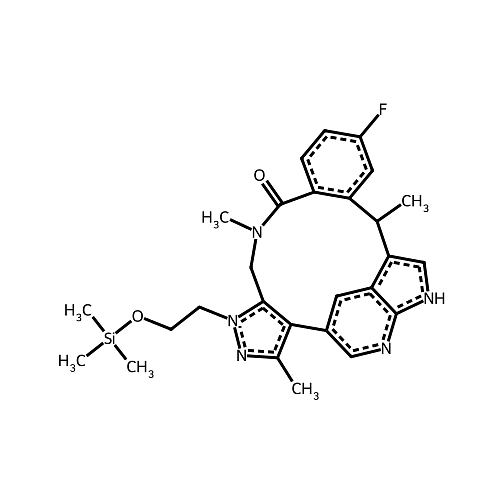 Cc1nn(CCO[Si](C)(C)C)c2c1-c1cnc3[nH]cc(c3c1)C(C)c1cc(F)ccc1C(=O)N(C)C2